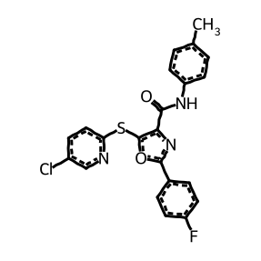 Cc1ccc(NC(=O)c2nc(-c3ccc(F)cc3)oc2Sc2ccc(Cl)cn2)cc1